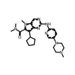 CN1CCN(c2ccc(Nc3ncc4c(n3)c(C3CCCC3)c(C(=O)N(C)C)n4C)nc2)CC1